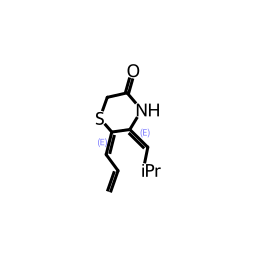 C=C/C=C1/SCC(=O)N/C1=C/C(C)C